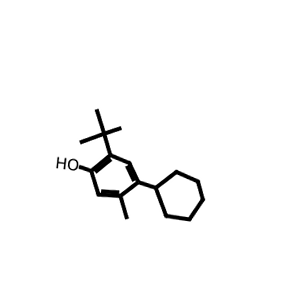 Cc1cc(O)c(C(C)(C)C)cc1C1CCCCC1